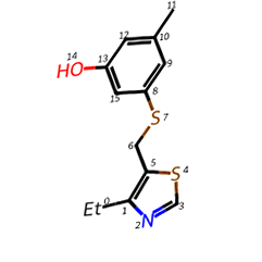 CCc1ncsc1CSc1cc(C)cc(O)c1